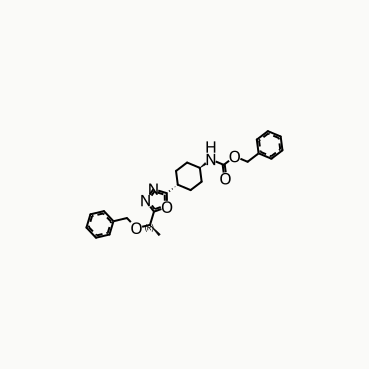 C[C@@H](OCc1ccccc1)c1nnc([C@H]2CC[C@H](NC(=O)OCc3ccccc3)CC2)o1